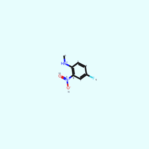 CNc1ccc(F)cc1[N+](=O)[O-]